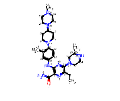 CCc1nc(C(N)=O)c(Nc2ccc(N3CCC(N4CCN(C)CC4)CC3)c(C)c2)nc1N1CCN[C@@H](C)C1